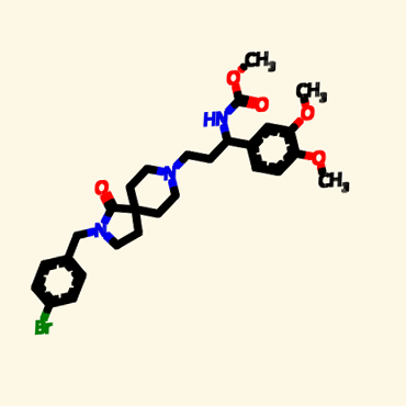 COC(=O)NC(CCN1CCC2(CC1)CCN(Cc1ccc(Br)cc1)C2=O)c1ccc(OC)c(OC)c1